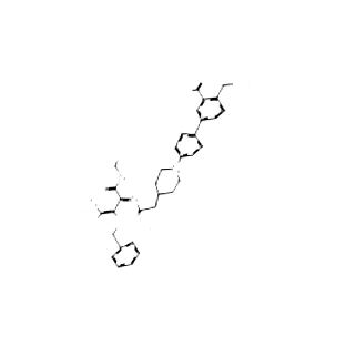 C=C(CC1CCN(c2ccc(-c3ccc(CO)c(C(=C)C)c3)cc2)CC1)/N=C(C(=O)NCC(=O)OCC)\C(OCc1ccccc1)=C(\C)N